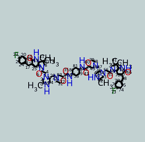 C[C@@H]1CN(CC(=O)N2CC(C)(C)c3[nH]c(=O)c(Cc4ccc(F)cc4)cc32)[C@@H](CN2CCO[C@H](C(=O)NC3CCC(NC(=O)[C@@H]4CN(C[C@H]5CN[C@H](C)CN5CC(=O)N5CC(C)(C)c6[nH]c(=O)c(Cc7ccc(F)cc7)cc65)CCO4)CC3)C2)CN1